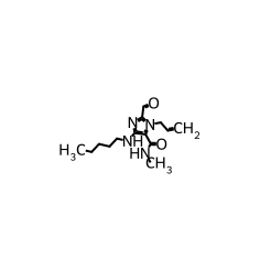 C=CCn1c(C=O)nc(NCCCCC)c1C(=O)NC